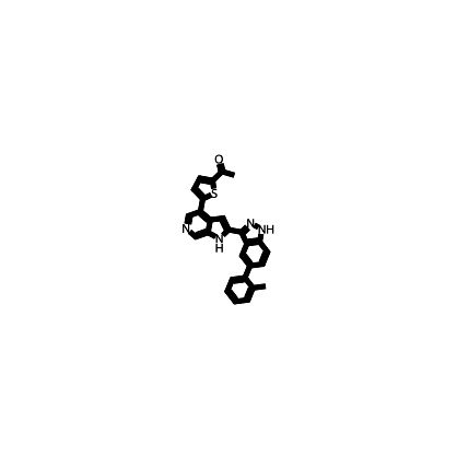 CC(=O)c1ccc(-c2cncc3[nH]c(-c4n[nH]c5ccc(-c6ccccc6C)cc45)cc23)s1